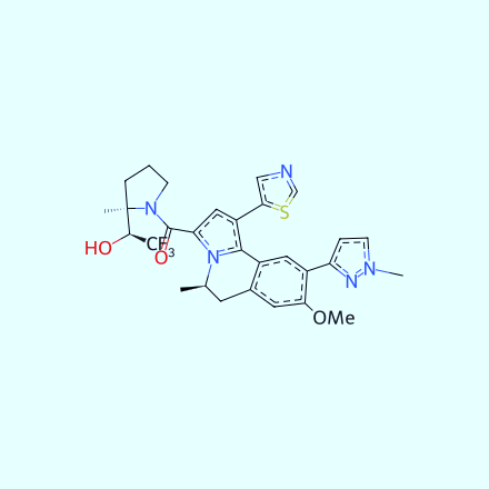 COc1cc2c(cc1-c1ccn(C)n1)-c1c(-c3cncs3)cc(C(=O)N3CCC[C@]3(C)[C@H](O)C(F)(F)F)n1[C@H](C)C2